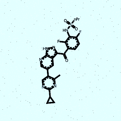 CCCS(=O)(=O)Nc1c(F)ccc(C(=O)c2n[nH]c3ncc(-c4cnc(C5CC5)nc4C)cc23)c1F